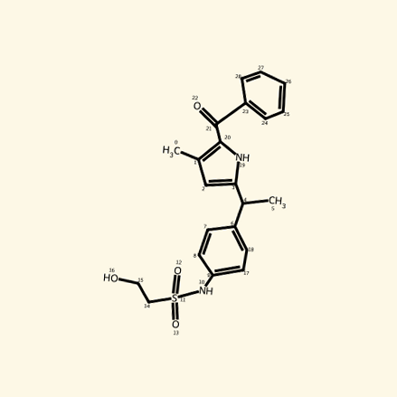 Cc1cc(C(C)c2ccc(NS(=O)(=O)CCO)cc2)[nH]c1C(=O)c1ccccc1